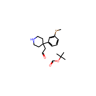 CC(C)(C)OC=O.CSc1cccc(C2(CC=O)CCNCC2)c1